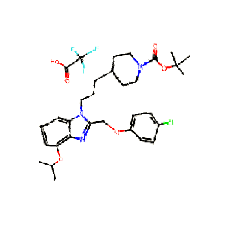 CC(C)Oc1cccc2c1nc(COc1ccc(Cl)cc1)n2CCCC1CCN(C(=O)OC(C)(C)C)CC1.O=C(O)C(F)(F)F